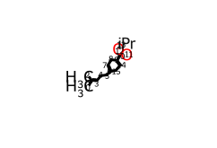 CC(C)=CCCC1=CCC(C(=O)OC(C)C)=CC1